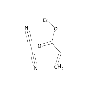 C=CC(=O)OCC.N#CC#N